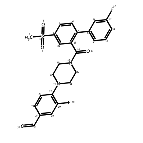 CS(=O)(=O)c1ccc(-c2cccc(F)c2)c(C(=O)N2CCN(c3ccc(C=O)cc3F)CC2)c1